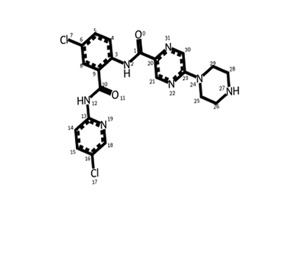 O=C(Nc1ccc(Cl)cc1C(=O)Nc1ccc(Cl)cn1)c1cnc(N2CCNCC2)cn1